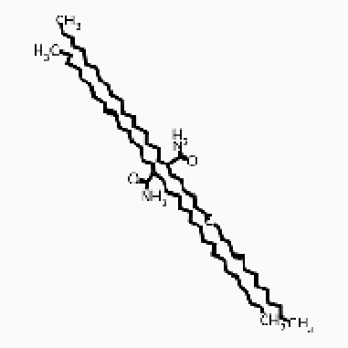 CCCCCCCCC=CCCCCCCC(CCCCCCCCCCCCCCCCCC)C(N)=O.CCCCCCCCC=CCCCCCCCCCCC(CCCCCCCCCCCCCCCCCC)C(N)=O